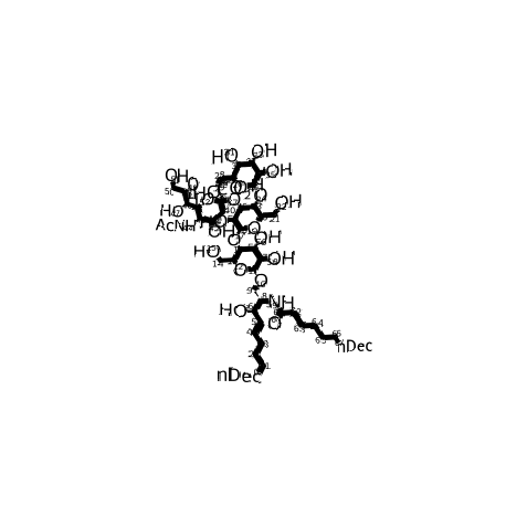 CCCCCCCCCCCCC/C=C/[C@@H](O)[C@H](CO[C@@H]1OC(CO)[C@@H](O[C@@H]2OC(CO)[C@H](O[C@@H]3OC(CO)[C@H](O)[C@H](O)C3O)[C@H](O[C@]3(C(=O)O)CC(O)[C@@H](NC(C)=O)C([C@H](O)[C@H](O)CO)O3)C2O)[C@H](O)C1O)NC(=O)CCCCCCCCCCCCCCC